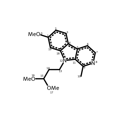 COc1ccc2c3ccnc(C)c3n(CCC(OC)OC)c2c1